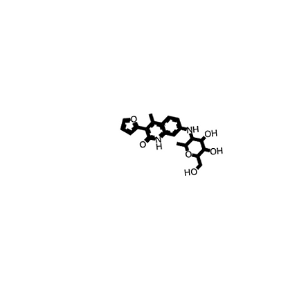 Cc1c(-c2ccco2)c(=O)[nH]c2cc(NC3C(C)OC(CO)C(O)C3O)ccc12